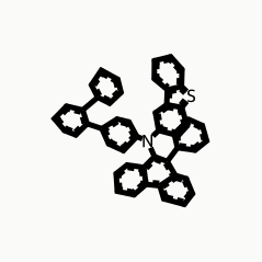 c1ccc(-c2ccccc2-c2ccc(N(c3ccc4sc5ccccc5c4c3)c3c(-c4ccccc4)c4ccccc4c4ccccc34)cc2)cc1